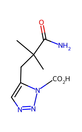 CC(C)(Cc1cnnn1C(=O)O)C(N)=O